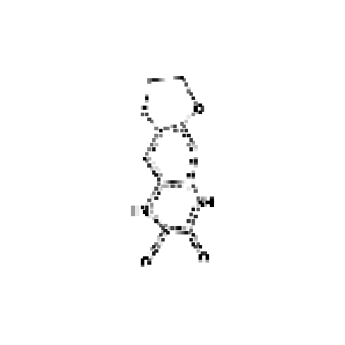 O=c1[nH]c2cc3c(cc2[nH]c1=O)OCCO3